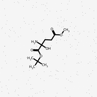 COC(=O)CCC(N)(O)C(=O)OC(C)(C)C